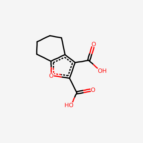 O=C(O)c1oc2c(c1C(=O)O)CCCC2